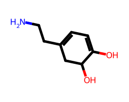 NCCC1=CC=C(O)C(O)C1